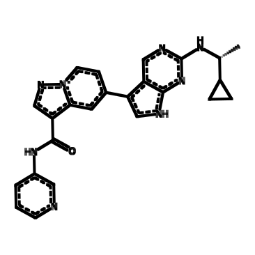 C[C@@H](Nc1ncc2c(-c3ccn4ncc(C(=O)Nc5cccnc5)c4c3)c[nH]c2n1)C1CC1